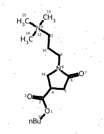 CCCCOC(=O)C1CC(=O)N(CCC[N+](C)(C)C)C1